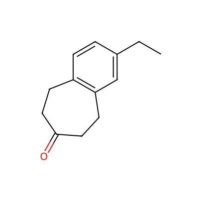 CCc1ccc2c(c1)CCC(=O)CC2